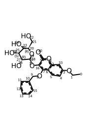 CCOc1ccc2c(OCc3ccccc3)c(O[C@@H]3O[C@H](CO)[C@H](O)[C@H](O)[C@H]3O)c(=O)oc2c1